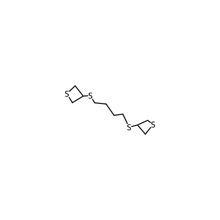 C(CCSC1CSC1)CSC1CSC1